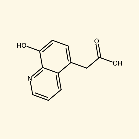 O=C(O)Cc1ccc(O)c2ncccc12